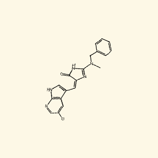 CN(Cc1ccccc1)C1=NC(=Cc2c[nH]c3ncc(Cl)cc23)C(=O)N1